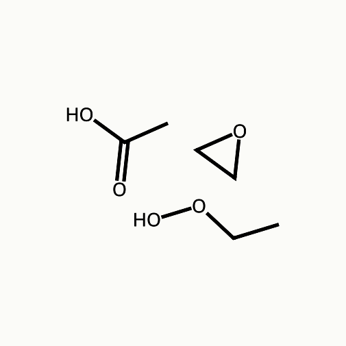 C1CO1.CC(=O)O.CCOO